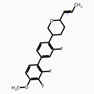 C/C=C/C1CCC(c2ccc(-c3ccc(OC)c(F)c3F)cc2F)CO1